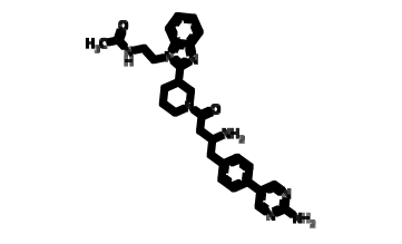 CC(=O)NCCn1c(C2CCCN(C(=O)CC(N)Cc3ccc(-c4cnc(N)nc4)cc3)C2)nc2ccccc21